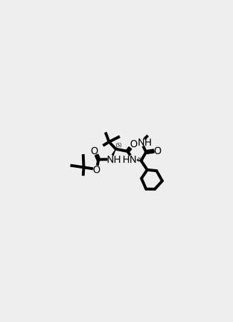 CNC(=O)[C@@H](NC(=O)[C@@H](NC(=O)OC(C)(C)C)C(C)(C)C)C1CCCCC1